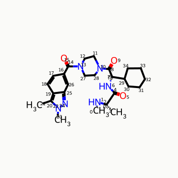 CN[C@@H](C)C(=O)N[C@H](C(=O)N1CCN(C(=O)c2ccc3c(C)n(C)nc3c2)CC1)C1CCCCC1